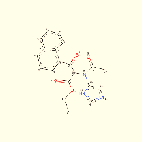 CCOC(=O)C(C(=O)c1cccc2ccccc12)N(C(C)=O)c1cnc[nH]1